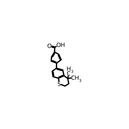 CC1(C)CCSc2ccc(-c3ccc(C(=O)O)cc3)cc21